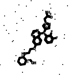 NC(=O)Cn1cc(N(c2cccc(F)c2F)c2ncnc3cc(OCCN[C@@H]4CCCC[C@H]4CO)ccc23)cn1